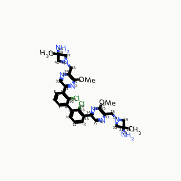 COc1nc(-c2cccc(-c3cccc(-c4cnc(CN5CC(C)(N)C5)c(OC)n4)c3Cl)c2Cl)cnc1CN1CC(C)(N)C1